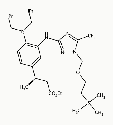 CCOC(=O)C[C@@H](C)c1ccc(N(CC(C)C)CC(C)C)c(Nc2nc(C(F)(F)F)n(COCCS(C)(C)C)n2)c1